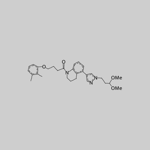 COC(CCn1cc(-c2cccc3c2CCCN3C(=O)CCCOc2cccc(C)c2C)cn1)OC